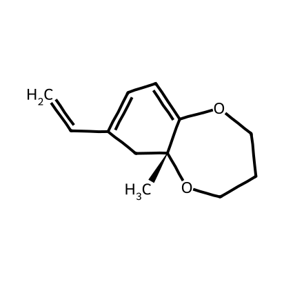 C=CC1=CC=C2OCCCO[C@]2(C)C1